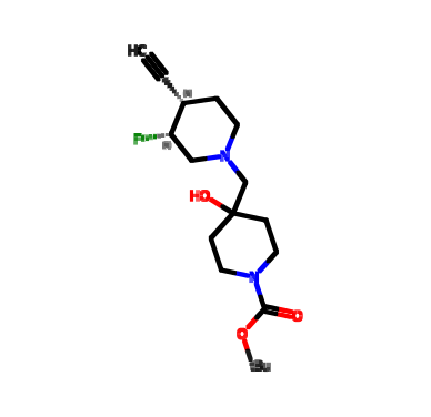 C#C[C@@H]1CCN(CC2(O)CCN(C(=O)OC(C)(C)C)CC2)C[C@@H]1F